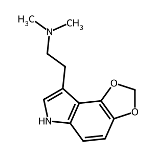 CN(C)CCc1c[nH]c2ccc3c(c12)OCO3